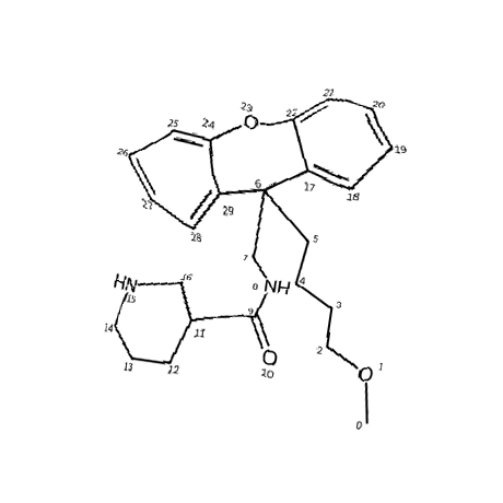 COCCCCC1(CNC(=O)C2CCCNC2)c2ccccc2Oc2ccccc21